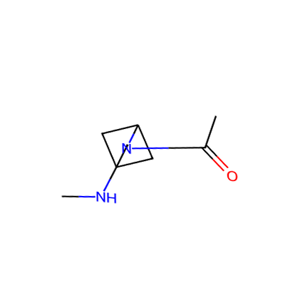 CNC12CC(C1)N(C(C)=O)C2